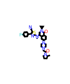 CC1CCCN1C(=O)CN1CCN(c2ccc3c(=O)n(C4CC4)cc(N(C)c4nc(-c5ccc(F)cc5)c(C#N)s4)c3c2)CC1